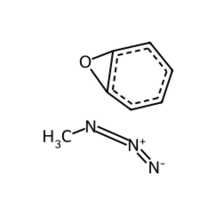 CN=[N+]=[N-].c1ccc2c(c1)O2